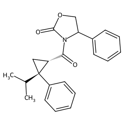 CC(C)[C@@]1(c2ccccc2)C[C@@H]1C(=O)N1C(=O)OCC1c1ccccc1